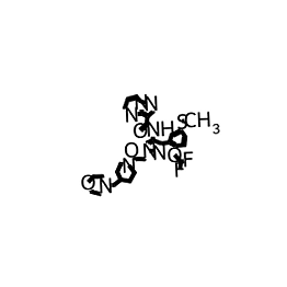 CSc1ccc(OC(F)F)c(-c2nn(CC(=O)N3CCC(CN4CCOCC4)CC3)cc2NC(=O)c2cnn3cccnc23)c1